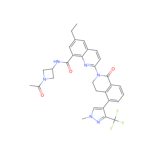 CCc1cc(C(=O)NC2CN(C(C)=O)C2)c2nc(N3CCc4c(cccc4-c4cn(C)nc4C(F)(F)F)C3=O)ccc2c1